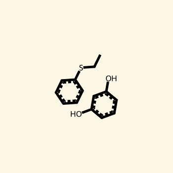 CCSc1ccccc1.Oc1cccc(O)c1